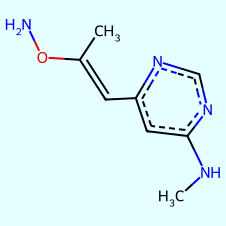 CNc1cc(/C=C(\C)ON)ncn1